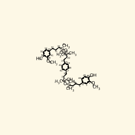 COc1cc(CCC[Si](C)(C)O[Si](C)(C)CCc2ccc(CC[Si](C)(C)O[Si](C)(C)CCCc3ccc(O)c(OC)c3)cc2)ccc1O